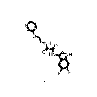 O=C(NCCOc1cccnc1)C(=O)Nc1c[nH]c2cc(F)c(F)cc12